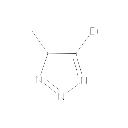 [CH2]C1N=NN=C1CC